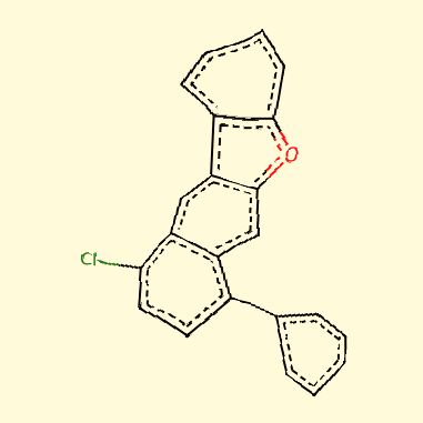 Clc1ccc(-c2ccccc2)c2cc3oc4ccccc4c3cc12